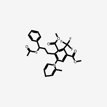 COC(=O)c1cc(N2C=CCC=C2C)c(CCC(SC(C)=O)c2ccccc2)c(C(=O)OC)c1C(F)(F)F